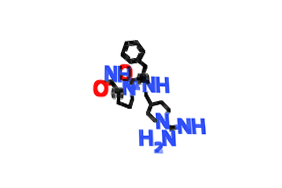 N=C(N)N1CCC(CN[C@H](Cc2ccccc2)C(=O)N2CCC[C@H]2C(N)=O)CC1